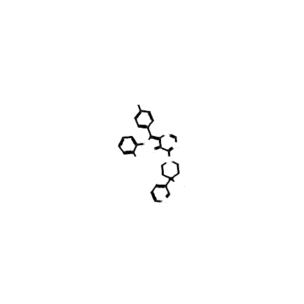 N#CC1(c2cccnc2)CCN(c2ncnc3c(-c4ccc(Cl)cc4)n(-c4ccccc4Cl)nc23)CC1